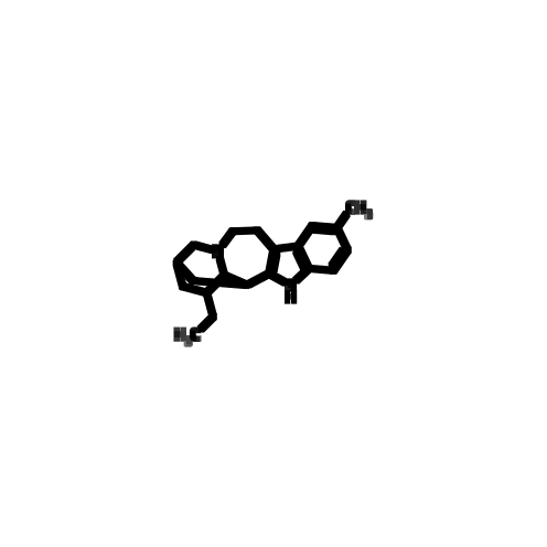 CCC1CC2CC3c4[nH]c5ccc(C)cc5c4CCN(C2)C13